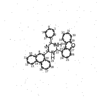 c1ccc(C2N=C(c3cc4ccccc4c4ccccc34)NC(c3cccc4oc5ccccc5c34)N2)cc1